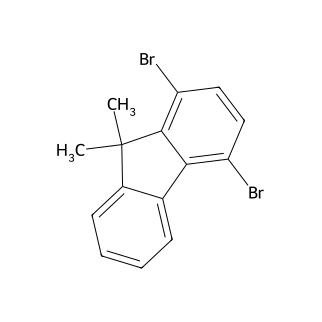 CC1(C)c2ccccc2-c2c(Br)ccc(Br)c21